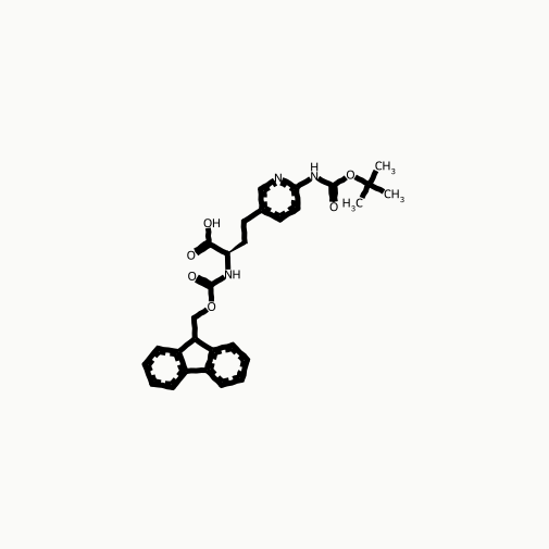 CC(C)(C)OC(=O)Nc1ccc(CC[C@@H](NC(=O)OCC2c3ccccc3-c3ccccc32)C(=O)O)cn1